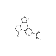 COC(=O)c1ccc(N2C(=O)CSC2c2ccoc2)c(C)c1